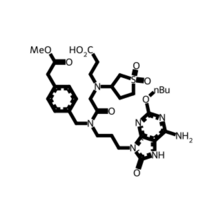 CCCCOc1nc(N)c2[nH]c(=O)n(CCCN(Cc3ccc(CC(=O)OC)cc3)C(=O)CN(CCC(=O)O)C3CCS(=O)(=O)C3)c2n1